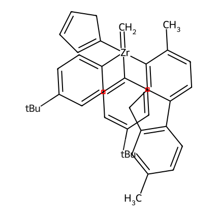 [CH2]=[Zr]([C]1=CC=CC1)([c]1ccc(C(C)(C)C)cc1)([c]1ccc(C(C)(C)C)cc1)[c]1c(C)ccc2c1Cc1cc(C)ccc1-2